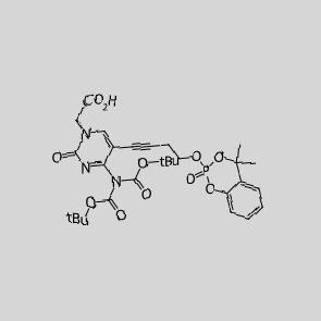 CC(C)(C)OC(=O)N(C(=O)OC(C)(C)C)c1nc(=O)n(CC(=O)O)cc1C#CCCOP1(=O)Oc2ccccc2C(C)(C)O1